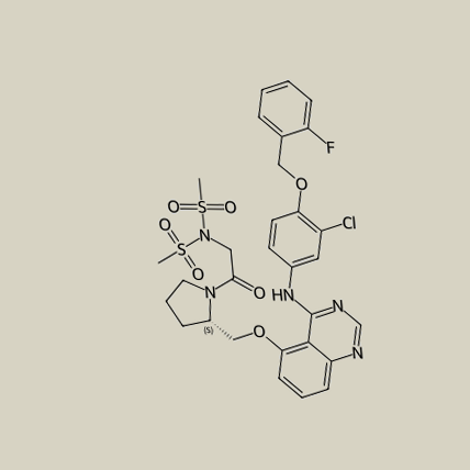 CS(=O)(=O)N(CC(=O)N1CCC[C@H]1COc1cccc2ncnc(Nc3ccc(OCc4ccccc4F)c(Cl)c3)c12)S(C)(=O)=O